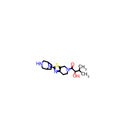 CC(C)C(O)C(=O)N1CCc2nc(N3C4CCC3CNC4)sc2C1